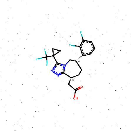 O=C(O)C[C@@H]1CC[C@@H](c2cccc(F)c2F)Cn2c1nnc2C1(C(F)(F)F)CC1